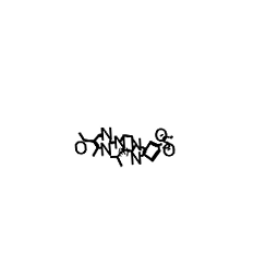 CC(=O)c1cnc(N2CCn3c(nc4ccc(S(C)(=O)=O)cc43)[C@H]2C(C)C)nc1C